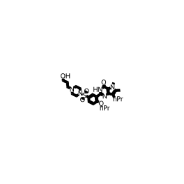 CCCOc1ccc(S(=O)(=O)N2CCN(CCCO)CC2)cc1-c1nc2c(CCC)c(C)n(C)c2c(=O)[nH]1